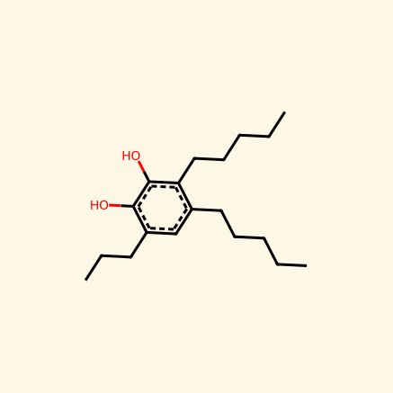 CCCCCc1cc(CCC)c(O)c(O)c1CCCCC